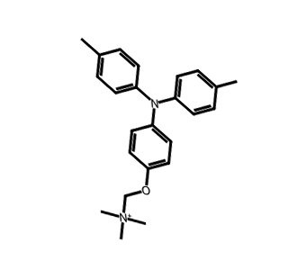 Cc1ccc(N(c2ccc(C)cc2)c2ccc(OC[N+](C)(C)C)cc2)cc1